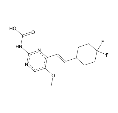 COc1cnc(NC(=O)O)nc1/C=C/C1CCC(F)(F)CC1